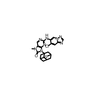 Cn1c(=O)n(C23CC4CC(C2)SC(C4)C3)c2nc(Nc3cn4ncnc4cc3Cl)ncc21